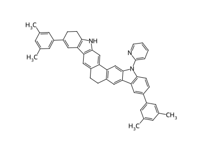 Cc1cc(C)cc(C2=Cc3c([nH]c4cc5c(cc34)CCc3cc4c6cc(-c7cc(C)cc(C)c7)ccc6n(-c6ccccn6)c4cc3-5)CC2)c1